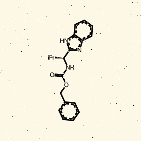 CC(C)[C@H](NC(=O)OCc1ccccc1)c1nc2ccccc2[nH]1